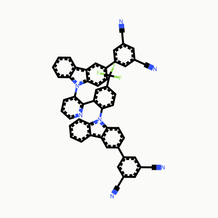 N#Cc1cc(C#N)cc(-c2ccc3c(c2)c2ccccc2n3-c2ccc(C(F)(F)F)cc2-c2ncccc2-n2c3ccccc3c3cc(-c4cc(C#N)cc(C#N)c4)ccc32)c1